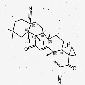 CC1(C)CC[C@]2(C#N)CC[C@]3(C)[C@H](C(=O)C=C4[C@@]5(C)C=C(C#N)C(=O)C6(CC6)[C@@H]5CC[C@]43C)[C@@H]2C1